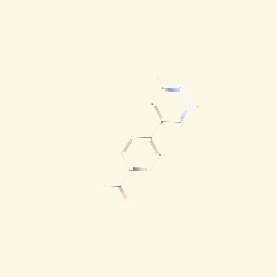 COC(=O)c1ccc(-c2cnnc(C)c2)cc1